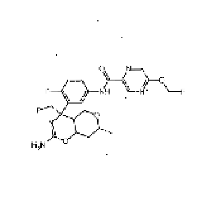 CC1CC2OC(N)=NC(CF)(c3cc(NC(=O)c4cnc(OCF)cn4)ccc3F)C2CO1